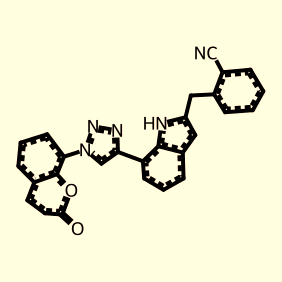 N#Cc1ccccc1Cc1cc2cccc(-c3cn(-c4cccc5ccc(=O)oc45)nn3)c2[nH]1